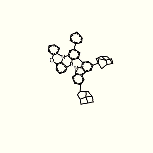 c1ccc(-c2cc3c4c(c2)N2c5ccccc5Oc5cccc(c52)B4n2c4ccc(C56CC7CC8CC(C5)C87C6)cc4c4cc(C56CC7CC8CC7(C5)C8C6)cc-3c42)cc1